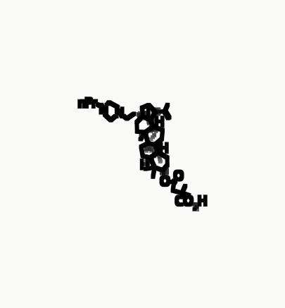 C=C(C)[C@@H]1CC[C@]2(CCN3CCN(CCC)CC3)CC[C@]3(C)[C@H](CC[C@@H]4[C@@]5(C)CC[C@H](OC(=O)CC(C)(C)C(=O)O)C(C)(C)[C@@H]5CC[C@]43C)[C@@H]12